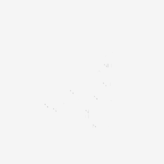 C[C@H](NC(=O)OC(C)(C)C)[C@H](Nc1nc(Nc2cncc(-n3cccn3)c2)c(C(N)=O)cc1F)C1CCC1